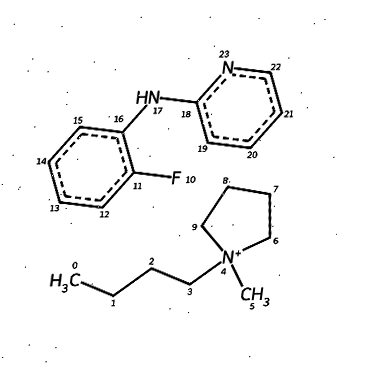 CCCC[N+]1(C)CCCC1.Fc1ccccc1Nc1ccccn1